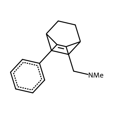 CNCC1=C(c2ccccc2)C2CCC1CC2